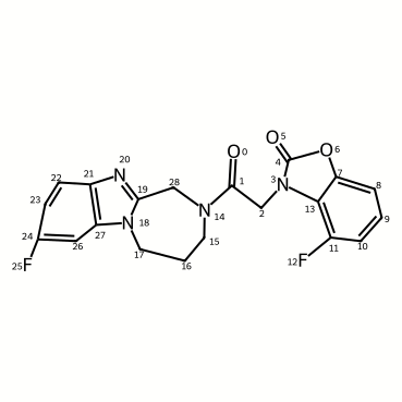 O=C(Cn1c(=O)oc2cccc(F)c21)N1CCCn2c(nc3ccc(F)cc32)C1